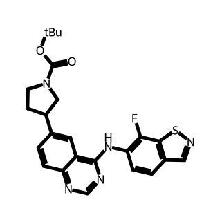 CC(C)(C)OC(=O)N1CCC(c2ccc3ncnc(Nc4ccc5cnsc5c4F)c3c2)C1